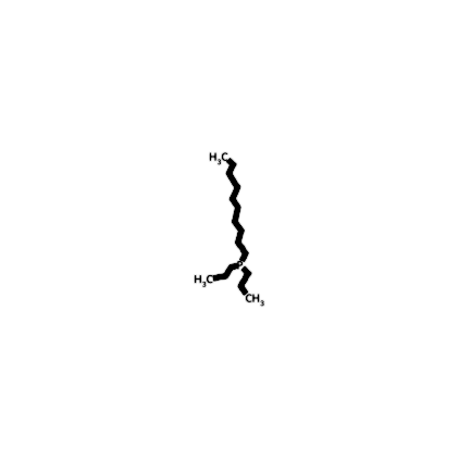 CCCCCCCCCCP(CCC)CCC